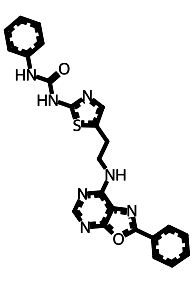 O=C(Nc1ccccc1)Nc1ncc(CCNc2ncnc3oc(-c4ccccc4)nc23)s1